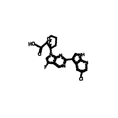 O=C(O)C1CC2CCC1(n1cc(F)c3cnc(-c4c[nH]c5ncc(Cl)cc45)nc31)CC2